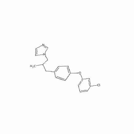 CC(Cc1ccc(Oc2cccc(Cl)c2)cc1)Cn1ccnc1